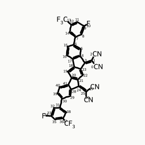 N#CC(C#N)=C1c2cc(-c3cc(F)cc(C(F)(F)F)c3)ccc2-c2cc3c(cc21)C(=C(C#N)C#N)c1cc(-c2cc(F)cc(C(F)(F)F)c2)ccc1-3